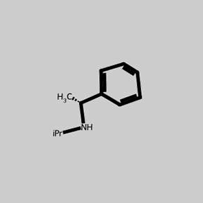 CC(C)N[C@H](C)c1ccccc1